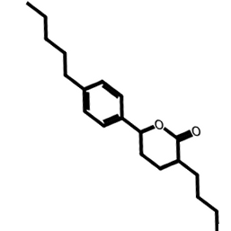 CCCCCc1ccc(C2CCC(CCCCC)C(=O)O2)cc1